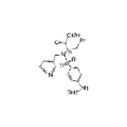 COC(=O)[C@@H](CC(C)C)N(Cc1cccnc1)S(=O)(=O)c1ccc(NC=O)cc1